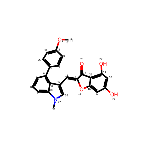 CC(C)Oc1ccc(-c2cccc3c2c(/C=C2\Oc4cc(O)cc(O)c4C2=O)cn3C)cc1